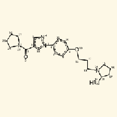 O=C(c1cnn(-c2ccc(OCCCN3CCC[CH]3[RaH])cc2)c1)N1CCCC1